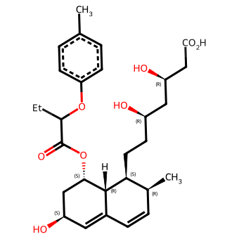 CCC(Oc1ccc(C)cc1)C(=O)O[C@H]1C[C@H](O)C=C2C=C[C@H](C)[C@H](CC[C@@H](O)C[C@@H](O)CC(=O)O)[C@H]21